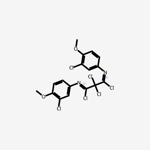 COc1ccc(/N=C(\Cl)C(Cl)(Cl)/C(Cl)=N\c2ccc(OC)c(Cl)c2)cc1Cl